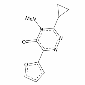 CNn1c(C2CC2)nnc(-c2ccco2)c1=O